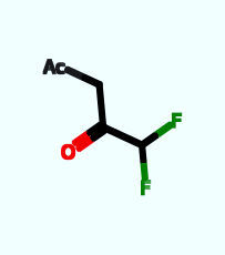 [CH2]C(=O)CC(=O)C(F)F